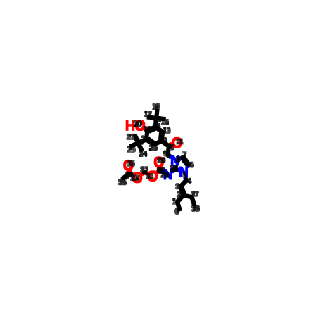 CCC(=CCn1ccn(CC(=O)c2cc(C(C)(C)C)c(O)c(C(C)(C)C)c2)c1=NC(=O)OCOC(C)=O)CC